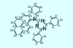 c1ccc(-c2nc(-c3ccccc3)nc(-n3c4ccccc4c4cc5ccc6cccc7ccc(c5c67)c43)n2)cc1